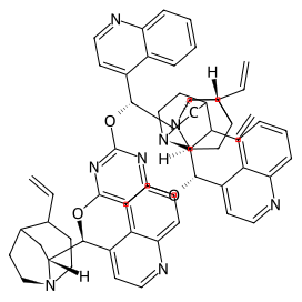 C=CC1C[N@@]2CCC1CC2[C@H](Oc1nc(O[C@@H](c2ccnc3ccccc23)[C@H]2CC3CC[N@]2CCC3C=C)cc(O[C@@H](c2ccnc3ccccc23)[C@@H]2CC3CC[N@@]2C[C@@H]3C=C)n1)c1ccnc2ccccc12